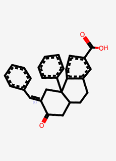 O=C1CC2CCc3cc(C(=O)O)ccc3C2(c2ccccc2)C/C1=C\c1ccccc1